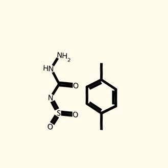 Cc1ccc(C)cc1.NNC(=O)N=S(=O)=O